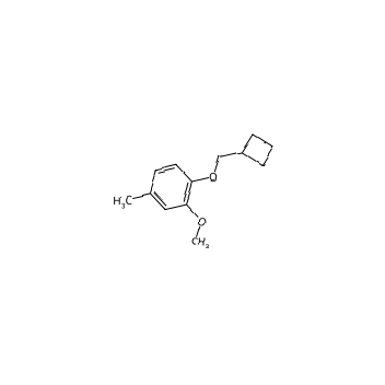 COc1cc(C)ccc1OCC1CCC1